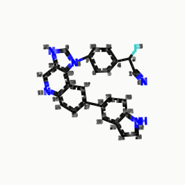 N#CC(F)c1ccc(-n2cnc3cnc4ccc(-c5ccc6[nH]ccc6c5)cc4c32)cc1